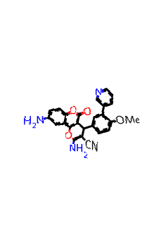 COc1ccc(C2C(C#N)=C(N)Oc3c2c(=O)oc2ccc(N)cc32)cc1-c1cccnc1